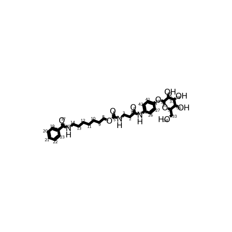 O=C(CCNC(=O)OCCCCCCCNC(=O)c1ccccc1)Nc1ccc(OC2OC(CO)C(O)C(O)C2O)cc1